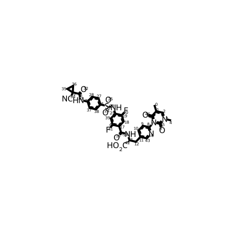 Cc1cn(C)c(=O)n(-c2ccc(C[C@H](NC(=O)c3cc(F)c(NS(=O)(=O)c4ccc(NC(=O)C5(C#N)CC5)cc4)cc3F)C(=O)O)cn2)c1=O